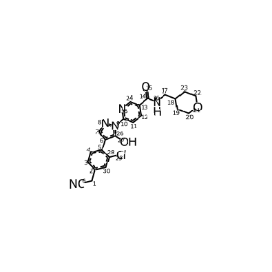 N#CCc1ccc(-c2cnn(-c3ccc(C(=O)NCC4CCOCC4)cn3)c2O)c(Cl)c1